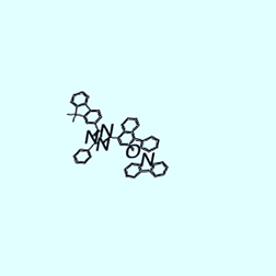 CC1(C)c2ccccc2-c2ccc(-c3nc(-c4ccccc4)nc(-c4cc5oc6c(-n7c8ccccc8c8ccccc87)cccc6c5c5ccccc45)n3)cc21